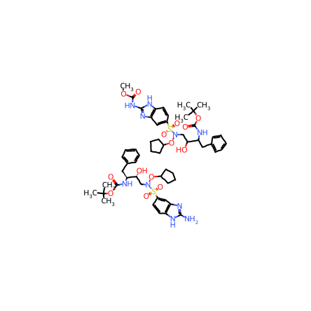 CC(C)(C)OC(=O)N[C@@H](Cc1ccccc1)[C@H](O)CN(OC1CCCC1)S(=O)(=O)c1ccc2[nH]c(N)nc2c1.COC(=O)Nc1nc2cc(S(=O)(=O)N(CC(O)C(Cc3ccccc3)NC(=O)OC(C)(C)C)OC3CCCC3)ccc2[nH]1